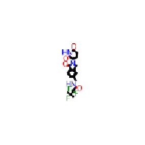 CC(C)(F)C(F)(F)C(=O)NCc1ccc2c(c1)CN(C1CCC(=O)NC1=O)C2=O